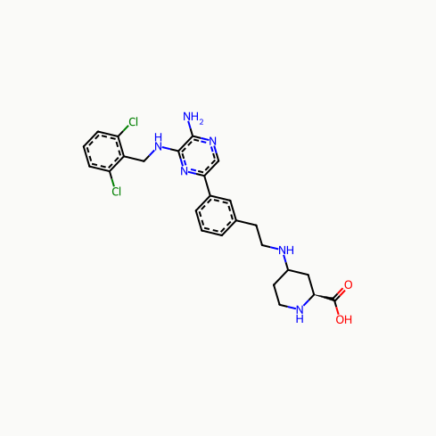 Nc1ncc(-c2cccc(CCNC3CCN[C@H](C(=O)O)C3)c2)nc1NCc1c(Cl)cccc1Cl